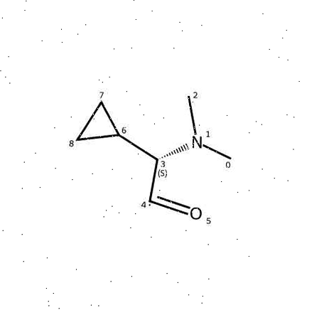 CN(C)[C@H]([C]=O)C1CC1